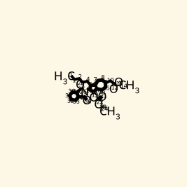 CCCCCc1c2ccc(CC(=O)OC)ccc-2c(OC(=O)OCC)c1N1C(=O)c2ccccc2C1=O